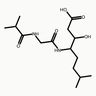 CC(C)CCC(NC(=O)CNC(=O)C(C)C)C(O)CC(=O)O